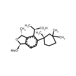 CO[C@H]1O[C@H](C)c2c1ccc([C@@]1(C)CCCC(C)(C)C1)c2[C@@H](C)C(=O)O